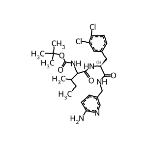 CCC(C)C(NC(=O)OC(C)(C)C)C(=O)N[C@@H](Cc1ccc(Cl)c(Cl)c1)C(=O)NCc1ccc(N)nc1